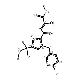 COC(=O)C(O)=CC(=O)c1oc(C(C)(C)OC)cc1Cc1ccc(F)cc1